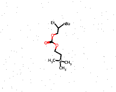 CCCCC(CC)COC(=O)OCC[Si](C)(C)C